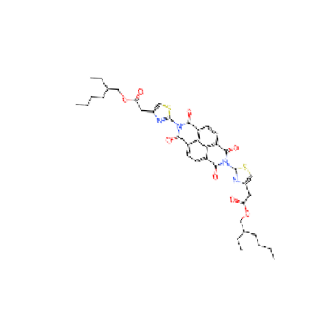 CCCCC(CC)COC(=O)Cc1csc(N2C(=O)c3ccc4c5c(ccc(c35)C2=O)C(=O)N(c2nc(CC(=O)OCC(CC)CCCC)cs2)C4=O)n1